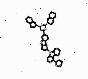 c1ccc(-c2cccc3c2c2ccccc2n3-c2ccc3oc4cc(C5=NC(c6ccc7ccccc7c6)=NC(c6ccc7ccccc7c6)C5)ccc4c3c2)cc1